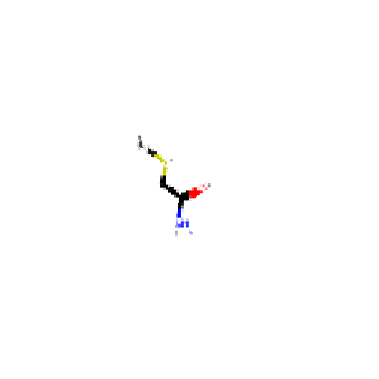 [CH2]CSCC(N)=O